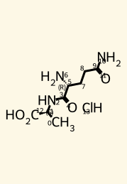 C[C@H](NC(=O)[C@H](N)CCC(N)=O)C(=O)O.Cl